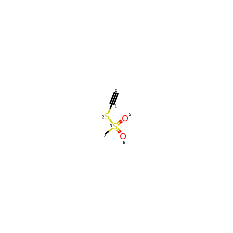 C#CSS(C)(=O)=O